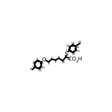 Cc1ccc(OCCCCCC(Sc2ccc(C)cc2)C(=O)O)cc1